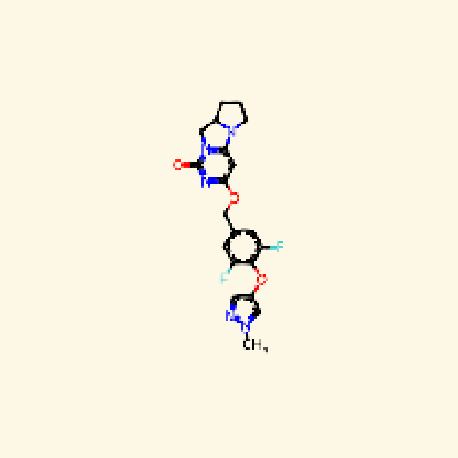 Cn1cc(Oc2c(F)cc(COc3cc4n(c(=O)n3)CC3CCCN43)cc2F)cn1